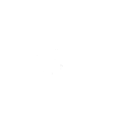 CC(C(=O)Nc1ccccc1)C(F)(F)F